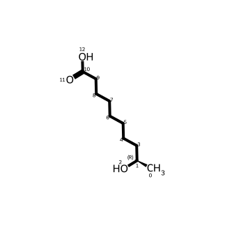 C[C@@H](O)CCCCCCCC(=O)O